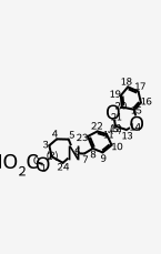 O=C(O)O[C@@H]1CCCN(Cc2ccc([C@H]3COc4ccccc4O3)cc2)C1